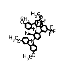 COc1ccc2c(c1)c1cc(OC)ccc1n2-c1ccc(-c2cc(C(F)(F)F)cc(C(F)(F)F)c2)c(-n2c3ccc(OC)cc3c3cc(OC)ccc32)c1C#N